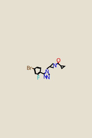 O=C(C1CC1)N1CC(Cn2cnnc2-c2ccc(Br)cc2F)C1